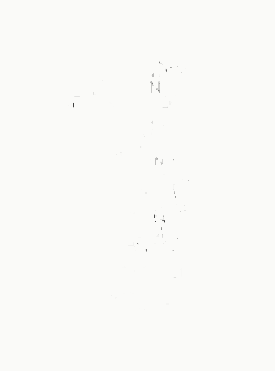 Cc1nnn(-c2ccc(F)cc2)c1COc1ccc2c(n1)CCN(C(=O)Nc1ccccc1Cl)C2